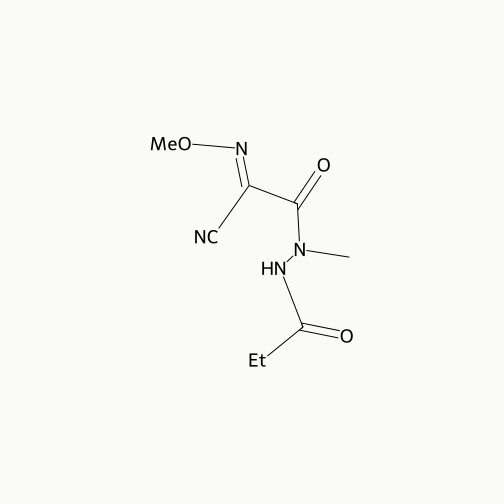 CCC(=O)NN(C)C(=O)/C(C#N)=N/OC